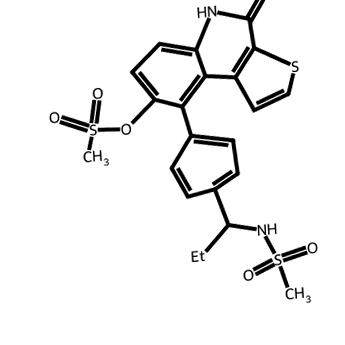 CCC(NS(C)(=O)=O)c1ccc(-c2c(OS(C)(=O)=O)ccc3[nH]c(=O)c4sccc4c23)cc1